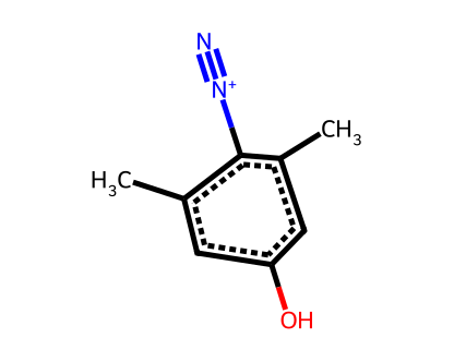 Cc1cc(O)cc(C)c1[N+]#N